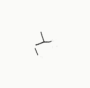 Br.CC(N)[Se]C#N